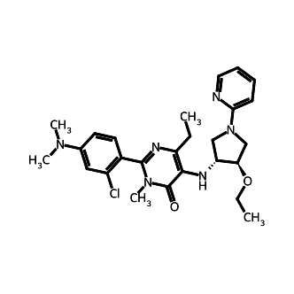 CCO[C@@H]1CN(c2ccccn2)C[C@H]1Nc1c(CC)nc(-c2ccc(N(C)C)cc2Cl)n(C)c1=O